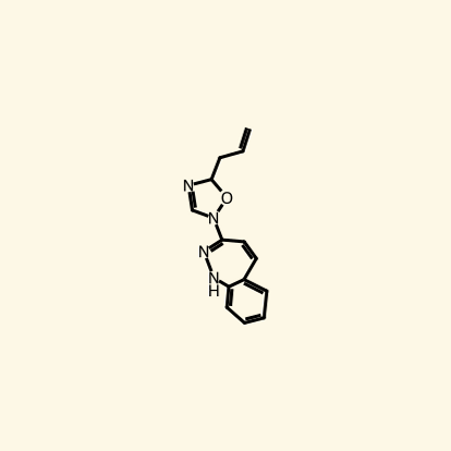 C=CCC1N=CN(C2=NNc3ccccc3C=C2)O1